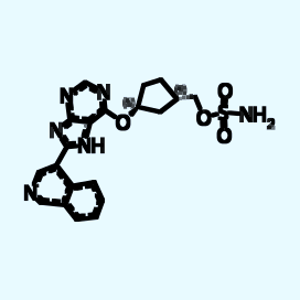 NS(=O)(=O)OC[C@H]1CC[C@H](Oc2ncnc3nc(-c4cncc5ccccc45)[nH]c23)C1